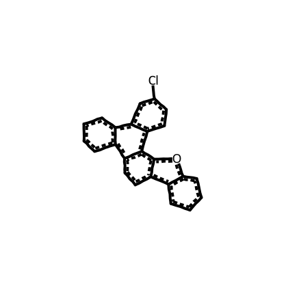 Clc1ccc2c(c1)c1ccccc1c1ccc3c4ccccc4oc3c12